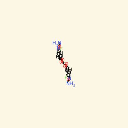 C[C@]12CC(F)/C(=N\OCCN)CC1CC[C@@H]1[C@H]2CC[C@]2(C)C(OC(=O)/C=C/C(=O)OC3CC[C@H]4[C@@H]5CCC6C/C(=N/OCCN)C(F)C[C@]6(C)[C@@H]5CC[C@]34C)CC[C@@H]12